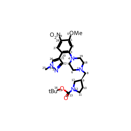 COc1cc(N2CCN(C[C@H]3CCN(C(=O)OC(C)(C)C)C3)CC2)c(-c2cnn(C)c2)cc1[N+](=O)[O-]